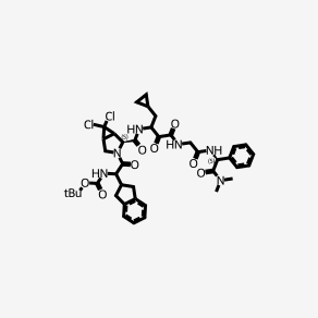 CN(C)C(=O)[C@@H](NC(=O)CNC(=O)C(=O)C(CC1CC1)NC(=O)[C@@H]1C2C(CN1C(=O)C(NC(=O)OC(C)(C)C)C1Cc3ccccc3C1)C2(Cl)Cl)c1ccccc1